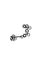 Cn1ccnc1S(=O)(=O)CCCCCOc1ccc(C(=O)N2CCC(N3C(=O)CCc4ccccc43)CC2)cc1